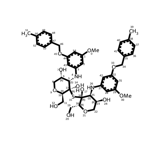 COc1cc(N[C@H]2[C@@H](O)CO[C@H](CO)[C@]2(O)S[C@@]2(O)[C@@H](CO)OC[C@H](O)[C@@H]2Nc2cc(OC)cc(OCc3ccc(C)cc3)c2)cc(OCc2ccc(C)cc2)c1